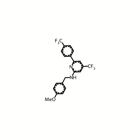 COc1ccc(CNc2cc(C(F)(F)F)cc(-c3ccc(C(F)(F)F)cc3)n2)cc1